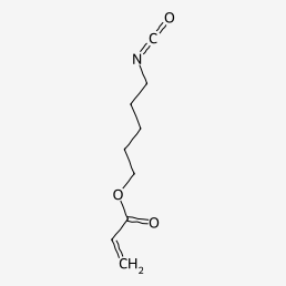 C=CC(=O)OCCCCCN=C=O